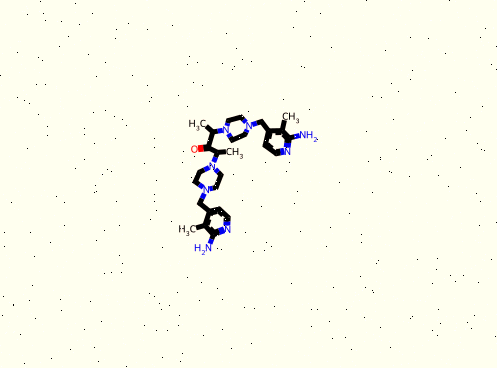 Cc1c(CN2CCN(C(C)C(=O)C(C)N3CCN(Cc4ccnc(N)c4C)CC3)CC2)ccnc1N